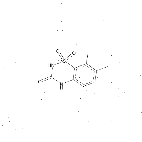 Cc1ccc2c(c1C)S(=O)(=O)NC(=O)N2